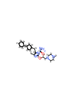 Cc1nc(OCCN2CCN(C)CC2)n(C(N)=O)c1Cc1ccc(-c2ccccc2)cc1